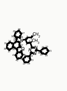 C=C/C=C(\C=C(/C)c1nc(-c2ccccc2)nc(-c2ccccc2)n1)n1c2ccccc2c2c3ccccc3c3c4ccccc4oc3c21